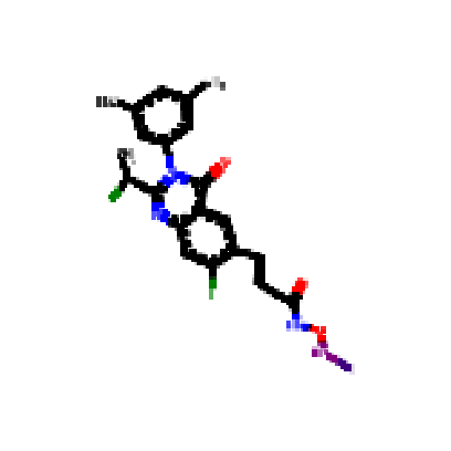 Cc1cc(C)cc(-n2c(C(C)F)nc3cc(F)c(/C=C/C(=O)NOPI)cc3c2=O)c1